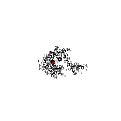 CC[C@H](C)[C@H](NC(=O)[C@H](CC(N)=O)NC(=O)[C@H](C)NC(=O)[C@H](C)NC(=O)[C@H](Cc1ccccc1)NC(=O)[C@@H](NC(=O)[C@@H](NC(=O)[C@H](C)NC(=O)[C@@H](NC(=O)[C@H](CC(=O)O)NC(=O)[C@H](Cc1ccccc1)NC(=O)[C@H](C)NC(=O)[C@H](CC(N)=O)NC(=O)CNC(=O)CNC(=O)CNC(=O)[C@H](CC(=O)O)NC(=O)[C@H](C)NC(=O)[C@@H](N)CC(C)C)C(C)C)C(C)C)[C@@H](C)CC)C(=O)N[C@@H](CC(N)=O)C(=O)O